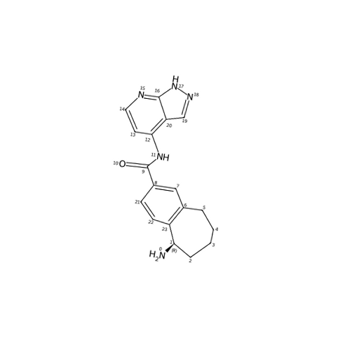 N[C@@H]1CCCCc2cc(C(=O)Nc3ccnc4[nH]ncc34)ccc21